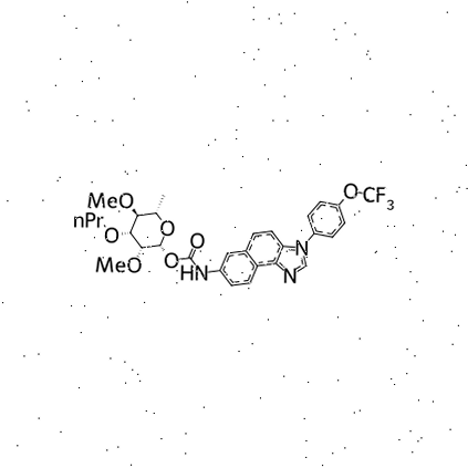 CCCO[C@@H]1[C@@H](OC)[C@H](C)O[C@H](OC(=O)Nc2ccc3c(ccc4c3ncn4-c3ccc(OC(F)(F)F)cc3)c2)[C@@H]1OC